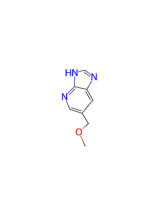 COCc1cnc2[nH]cnc2c1